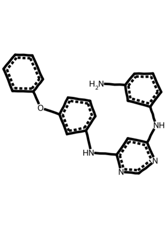 Nc1cccc(Nc2cc(Nc3cccc(Oc4ccccc4)c3)ncn2)c1